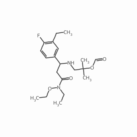 CCON(CC)C(=O)CC(NCC(C)(C)OC=O)c1ccc(F)c(CC)c1